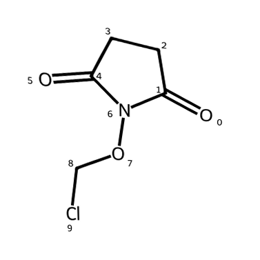 O=C1CCC(=O)N1OCCl